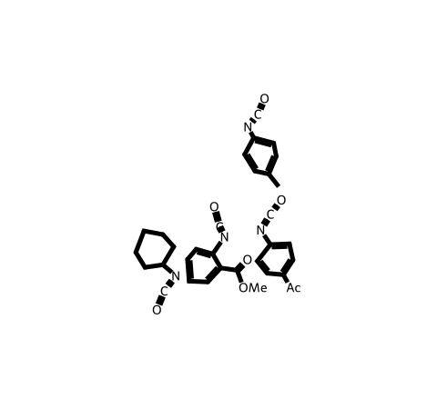 CC(=O)c1ccc(N=C=O)cc1.COC(=O)c1ccccc1N=C=O.Cc1ccc(N=C=O)cc1.O=C=NC1CCCCC1